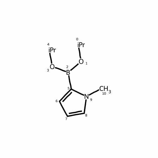 CC(C)OB(OC(C)C)c1cccn1C